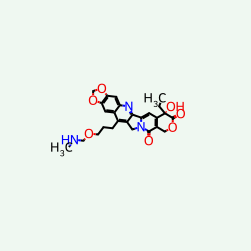 CC[C@@]1(O)C(=O)OCc2c1cc1n(c2=O)Cc2c-1nc1cc3c(cc1c2CCCOCNC)OCO3